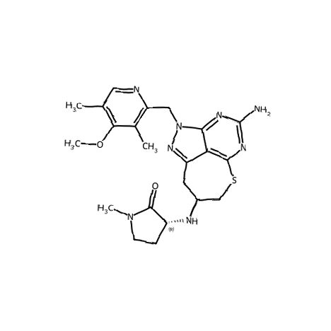 COc1c(C)cnc(Cn2nc3c4c(nc(N)nc42)SCC(N[C@@H]2CCN(C)C2=O)C3)c1C